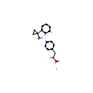 COC(=O)C(N)Cc1ccc(N2C(=O)C3(CC3)c3cccc(F)c32)cc1